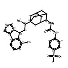 CS(=O)(=O)c1ccc(NC(=O)NC2C3CC4CC2CC(C(O)CC2c5c(F)cccc5-c5cncn52)(C4)C3)cc1